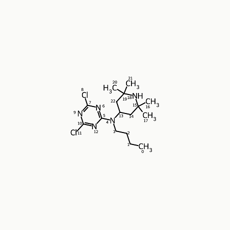 CCCCN(c1nc(Cl)nc(Cl)n1)C1CC(C)(C)NC(C)(C)C1